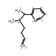 C=CCC[C@@H](C)C(C)c1ccccn1